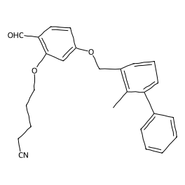 Cc1c(COc2ccc(C=O)c(OCCCCC#N)c2)cccc1-c1ccccc1